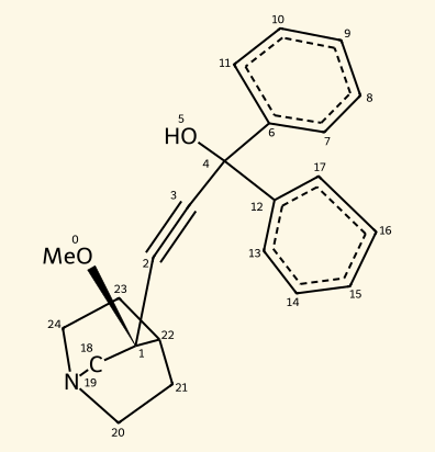 CO[C@]1(C#CC(O)(c2ccccc2)c2ccccc2)CN2CCC1CC2